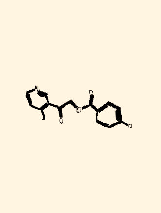 Cc1ccncc1C(=O)COC(=O)c1ccc(Cl)cc1